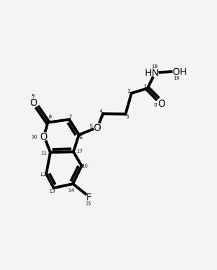 O=C(CCCOc1cc(=O)oc2ccc(F)cc12)NO